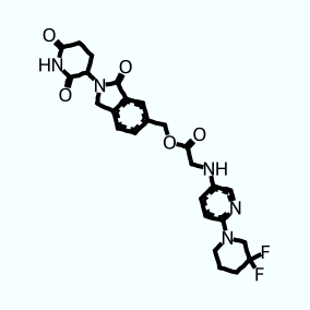 O=C1CCC(N2Cc3ccc(COC(=O)CNc4ccc(N5CCCC(F)(F)C5)nc4)cc3C2=O)C(=O)N1